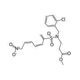 C=C(/C=C\C=C/C[N+](=O)[O-])S(=O)(=O)N(CCC(=O)OC)Cc1ccccc1Cl